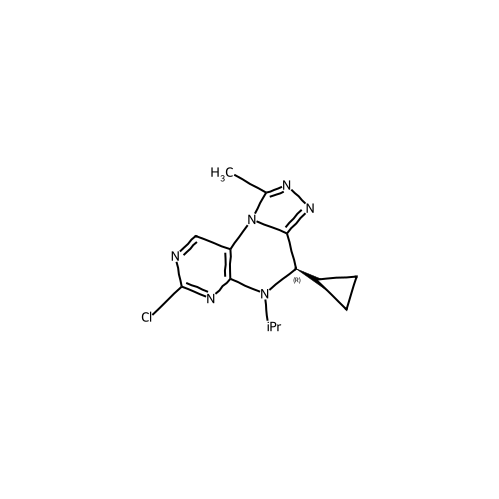 Cc1nnc2n1-c1cnc(Cl)nc1N(C(C)C)[C@@H]2C1CC1